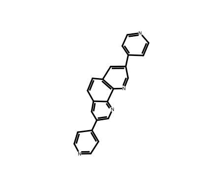 c1cc(-c2cnc3c(ccc4cc(-c5ccncc5)cnc43)c2)ccn1